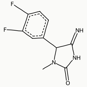 CN1C(=O)NC(=N)C1c1ccc(F)c(F)c1